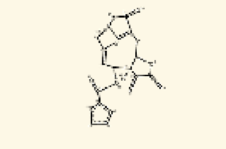 C=C1OC2CC3=C[C@@H](C/C(C)=C/[C@@H](OC(=O)c4cccs4)[C@@H]2C1=C)OC3=O